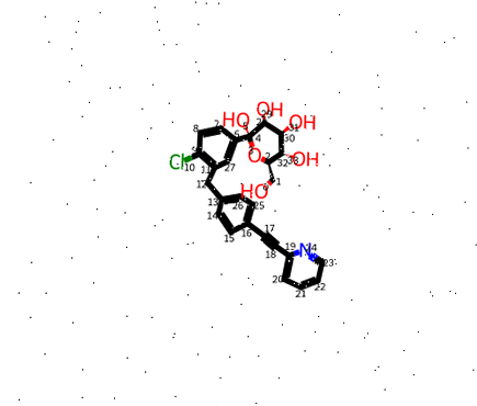 OC[C@H]1O[C@@](O)(c2ccc(Cl)c(Cc3ccc(C#Cc4ccccn4)cc3)c2)[C@H](O)[C@@H](O)[C@@H]1O